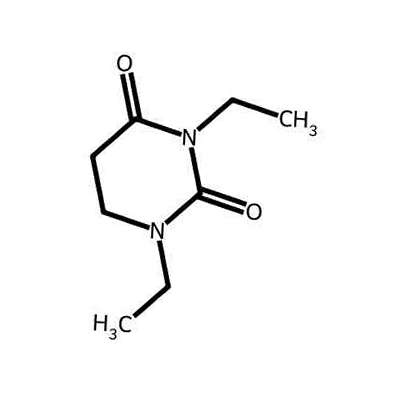 CCN1CCC(=O)N(CC)C1=O